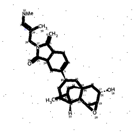 C=C1C2CC=C([C@@H]3CC[C@@H]4C(C)CC[C@@]5(C3)C[C@H](O)C3OC3C45)CC2C(=O)N1C/C(C)=C/NC